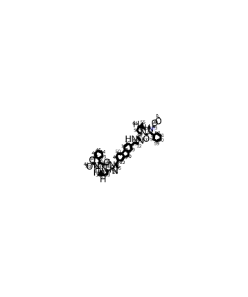 COO/C=N/[C@@H](C(=O)N1[C@H](c2ncc(-c3ccc4c(c3)Cc3cc(-c5cnc([C@@H]6C[C@@H]7C[C@@H]7N6C(=O)[C@H](NC(=O)OC)c6ccccc6)[nH]5)ccc3-4)[nH]2)C[C@@H]2C[C@@H]21)c1ccccc1